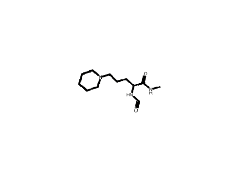 CNC(=O)C(CCCN1CCCCC1)NC=O